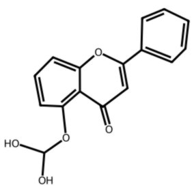 O=c1cc(-c2ccccc2)oc2cccc(OC(O)O)c12